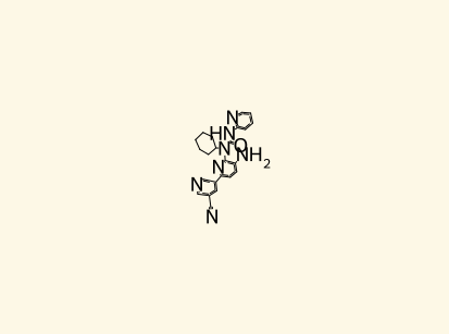 N#Cc1cncc(-c2ccc(N)c(N(C(=O)Nc3ccccn3)C3CCCCC3)n2)c1